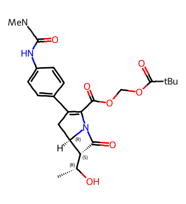 CNC(=O)Nc1ccc(C2=C(C(=O)OCOC(=O)C(C)(C)C)N3C(=O)[C@H]([C@@H](C)O)[C@H]3C2)cc1